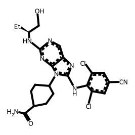 CC[C@@H](CO)Nc1ncc2nc(Nc3c(Cl)cc(C#N)cc3Cl)n(C3CCC(C(N)=O)CC3)c2n1